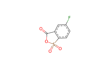 O=C1OS(=O)(=O)c2ccc(F)cc21